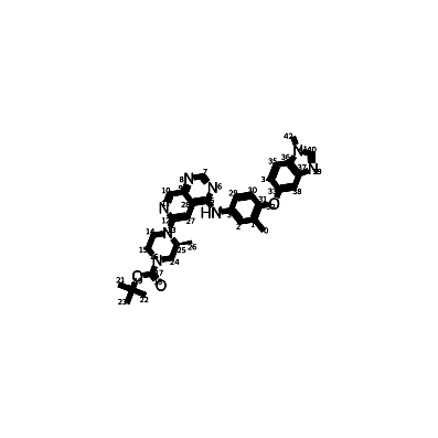 Cc1cc(Nc2ncnc3cnc(N4CCN(C(=O)OC(C)(C)C)C[C@@H]4C)cc23)ccc1Oc1ccc2c(c1)ncn2C